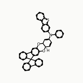 C1=C[C@H]2Oc3cc4c(cc3OC2C=C1N(c1ccccc1)c1ccc2c(c1)sc1ccccc12)-c1ccccc1C41c2ccccc2-c2ccccc21